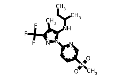 CCC(C)Nc1c(C)c(C(F)(F)F)nn1-c1ccc(S(C)(=O)=O)cn1